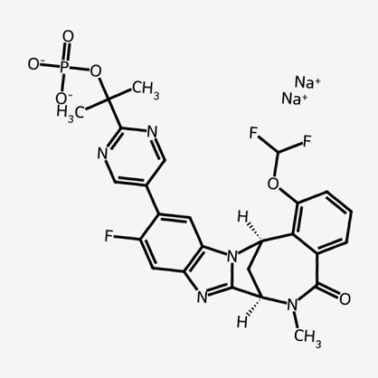 CN1C(=O)c2cccc(OC(F)F)c2[C@H]2C[C@@H]1c1nc3cc(F)c(-c4cnc(C(C)(C)OP(=O)([O-])[O-])nc4)cc3n12.[Na+].[Na+]